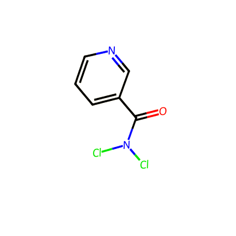 O=C(c1cccnc1)N(Cl)Cl